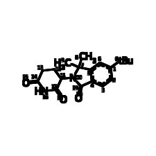 CC(C)(C)c1ccc2c(c1)C(C)(C)N(C1CCC(=O)NC1=O)C2=O